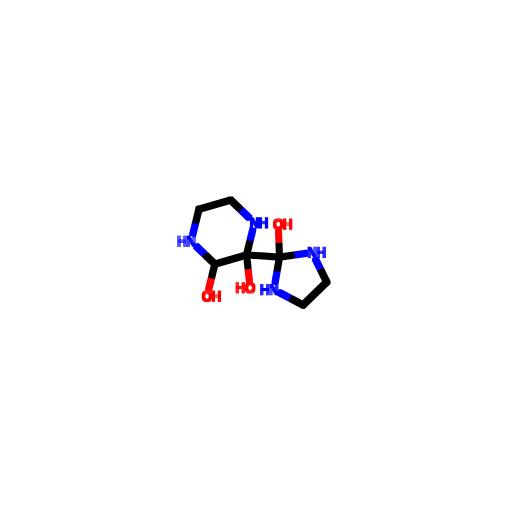 OC1NCCNC1(O)C1(O)NCCN1